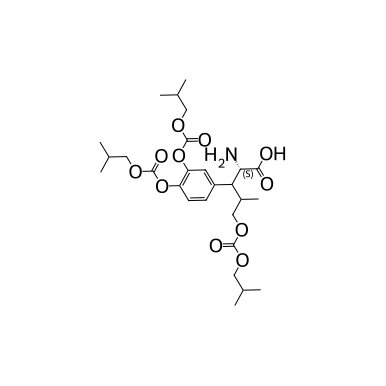 CC(C)COC(=O)OCC(C)C(c1ccc(OC(=O)OCC(C)C)c(OC(=O)OCC(C)C)c1)[C@H](N)C(=O)O